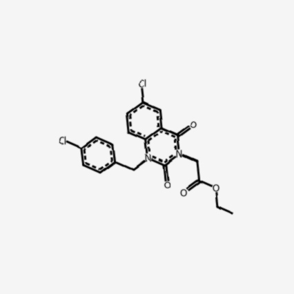 CCOC(=O)Cn1c(=O)c2cc(Cl)ccc2n(Cc2ccc(Cl)cc2)c1=O